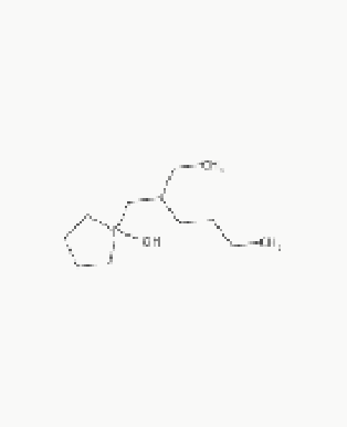 CCCCC(CC)C[P]1(O)CCCC1